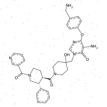 NCc1ccc(Oc2ncn(CC3(O)CCN(C(=O)[C@@H]4CCN(C(=O)c5cccnc5)C[C@H]4c4ccccc4)CC3)c(=O)c2N)cc1